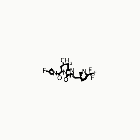 CC1Cc2nn(Cc3ccc(C(F)(F)F)nc3)c(=O)n2C(C(=O)N2CC(F)C2)C1